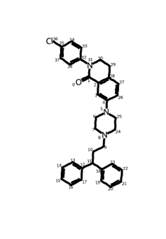 O=C1c2cc(N3CCN(CCC(c4ccccc4)c4ccccc4)CC3)ccc2CCN1c1ccc(Cl)cc1